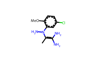 COc1ccc(Cl)cc1N(N)C(C)=C(N)N